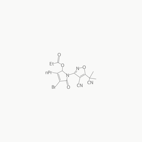 CCCC1=C(Br)C(=O)N(c2noc(C(C)(C)C#N)c2C#N)C1OC(=O)CC